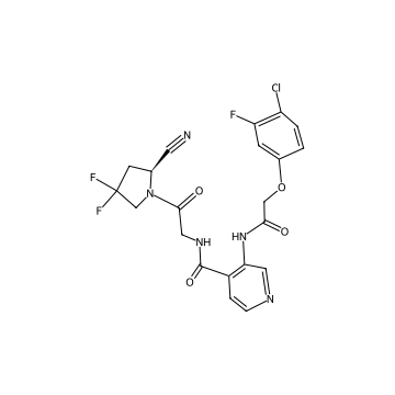 N#C[C@@H]1CC(F)(F)CN1C(=O)CNC(=O)c1ccncc1NC(=O)COc1ccc(Cl)c(F)c1